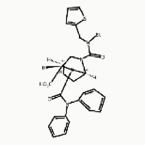 CCN(Cc1cccs1)C(=O)N1C[C@@H]2CC[C@H]1CN(C(=O)N(c1ccccc1)c1ccccc1)[C@@H]2C(=O)O